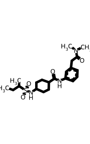 CCC(C)S(=O)(=O)NC1CCC(C(=O)Nc2cccc(CC(=O)N(C)C)c2)CC1